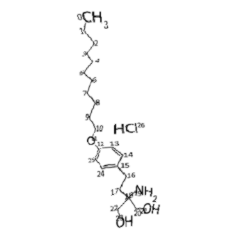 CCCCCCCCCCCOc1ccc(CCC(N)(CO)CO)cc1.Cl